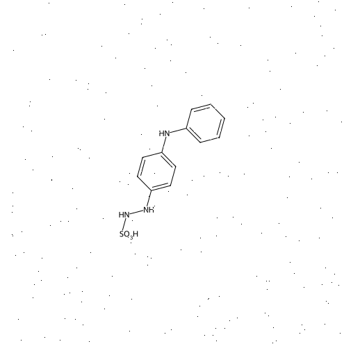 O=S(=O)(O)NNc1ccc(Nc2ccccc2)cc1